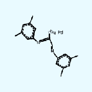 CCCCC(C=Nc1cc(C)cc(C)c1)=Nc1cc(C)cc(C)c1.[Pd]